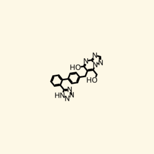 OCc1c(Cc2ccc(-c3ccccc3-c3nnn[nH]3)cc2)c(O)nc2ncnn12